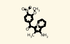 COc1cc(C(=O)c2c(C)c(N)c3ccccn23)ccc1[N+](=O)[O-]